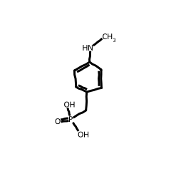 CNc1ccc(CP(=O)(O)O)cc1